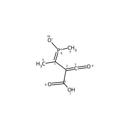 CC(C(=C=O)C(=O)O)=[P+](C)[O-]